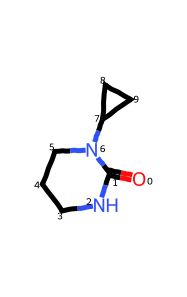 O=C1NCCCN1C1CC1